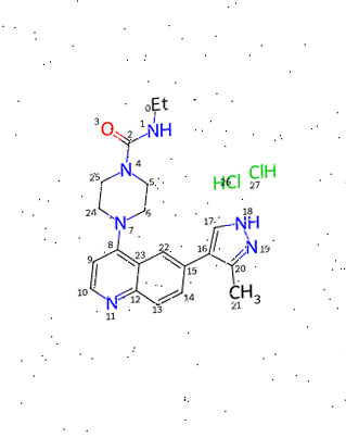 CCNC(=O)N1CCN(c2ccnc3ccc(-c4c[nH]nc4C)cc23)CC1.Cl.Cl